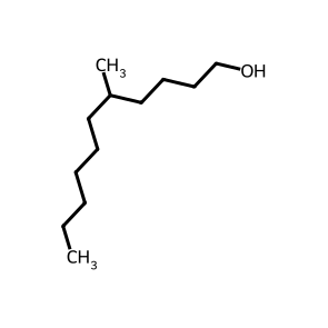 CCCCCCC(C)CCCCO